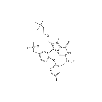 CCOC(=O)c1cc2c(-c3cc(CS(C)(=O)=O)ccc3Oc3ccc(F)cc3F)n(COCC[Si](C)(C)C)c(C)c2c(=O)[nH]1